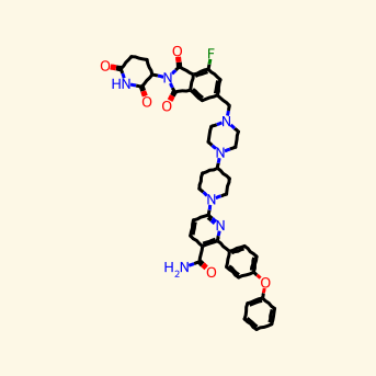 NC(=O)c1ccc(N2CCC(N3CCN(Cc4cc(F)c5c(c4)C(=O)N(C4CCC(=O)NC4=O)C5=O)CC3)CC2)nc1-c1ccc(Oc2ccccc2)cc1